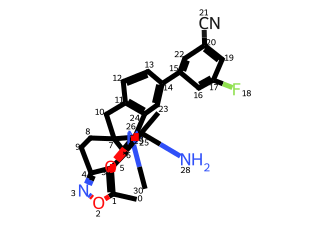 Cc1onc2c1CC1(CC2)Cc2ccc(-c3cc(F)cc(C#N)c3)cc2C12N=C(N)N(C)C2=O